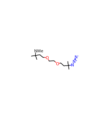 CNC(C)(C)CCOCCOCCC(C)(C)N=[N+]=[N-]